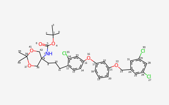 CC(C)(C)OC(=O)NC1(CCCc2ccc(Oc3cccc(OCc4cc(Cl)cc(Cl)c4)c3)cc2Cl)COC(C)(C)OC1